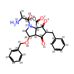 COC(=O)[C@@]12C(=O)C(Cc3ccccc3)C(=O)C1[C@@H](OCc1ccccc1)CN2C(=O)C(C)N